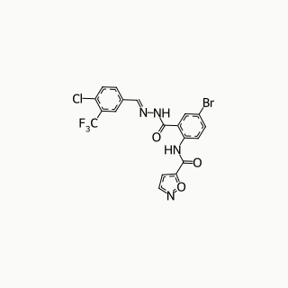 O=C(Nc1ccc(Br)cc1C(=O)NN=Cc1ccc(Cl)c(C(F)(F)F)c1)c1ccno1